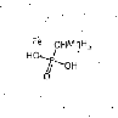 O=P(O)(O)O.[Fe].[MgH2]